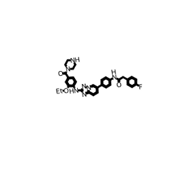 CCOc1cc(C(=O)N2CCNCC2)ccc1Nc1nc2ccc(-c3ccc(NC(=O)Cc4ccc(F)cc4)cc3)cn2n1